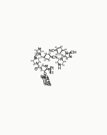 CCOc1cc(C(=O)N2CCN(Cc3cncn3Cc3ccc(C#N)cc3)CC2)cnc1N(CC)CC.Cl.Cl.Cl.Cl.Cl.Cl.N#Cc1ccc(Cn2cncc2CN2CCNCC2)cc1